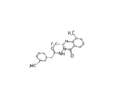 Cc1cccc2c(=O)n(NC(=O)Cc3cccc(C#N)c3)c(C(F)(F)F)nc12